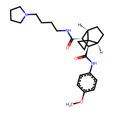 COc1ccc(NC(=O)[C@H]2[C@H](C(=O)NCCCCN3CCCC3)[C@H]3CC[C@@H]2C32CC2)cc1